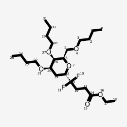 CCCCOC[C@H]1O[C@H](C(F)(F)CCC(=O)OCC)C[C@@H](OCCCC)[C@H]1OCCCC